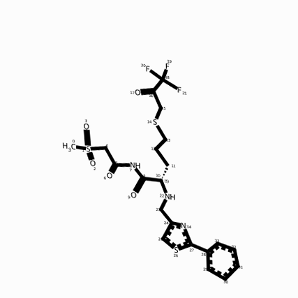 CS(=O)(=O)CC(=O)NC(=O)[C@H](CCCSCC(=O)C(F)(F)F)NCc1csc(-c2ccccc2)n1